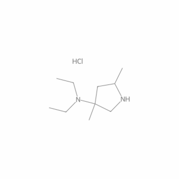 CCN(CC)C1(C)CNC(C)C1.Cl